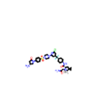 C[N@+]1(CC(N)=O)CC2(CC2)C[C@H]1C(=O)N[C@H]1CC[C@H](C(F)(F)c2cc(Cl)nc(N3CCN(S(=O)(=O)c4ccc(N5C[C@H](N)CC5=O)cc4)CC3)c2)CC1